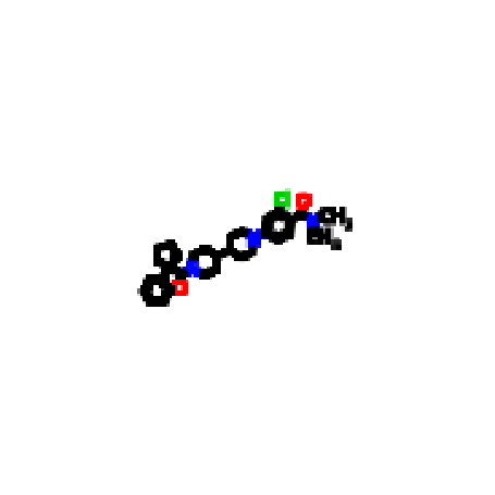 CN(C)C(=O)c1ccc(N2CCC(C3CCN(C(=O)C4(c5ccccc5)CCCC4)CC3)CC2)cc1Cl